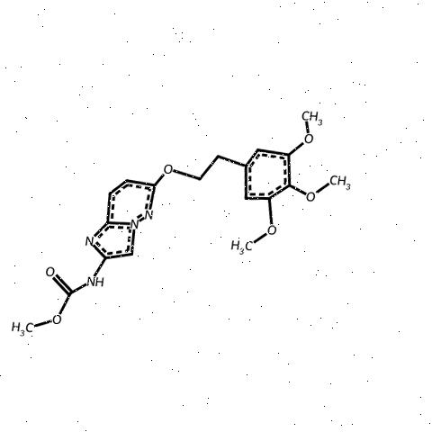 COC(=O)Nc1cn2nc(OCCc3cc(OC)c(OC)c(OC)c3)ccc2n1